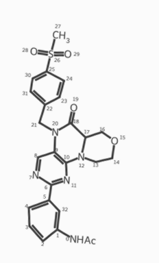 CC(=O)Nc1cccc(-c2ncc3c(n2)N2CCOCC2C(=O)N3Cc2ccc(S(C)(=O)=O)cc2)c1